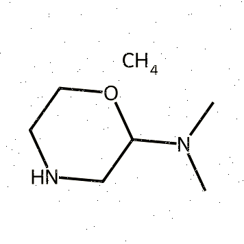 C.CN(C)C1CNCCO1